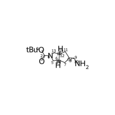 CC(C)(C)OC(=O)N1C[C@H]2C[C@H](CN)C[C@H]2C1